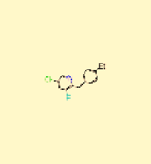 CCc1ccc(Cc2ncc(Cl)cc2F)cc1